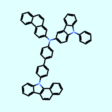 c1ccc(-n2c3ccccc3c3cc(N(c4ccc(-c5ccc(-n6c7ccccc7c7ccc8ccccc8c76)cc5)cc4)c4ccc5c(ccc6ccccc65)c4)ccc32)cc1